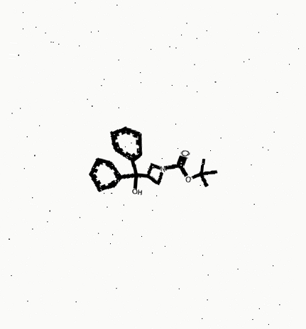 CC(C)(C)OC(=O)N1CC(C(O)(c2ccccc2)c2ccccc2)C1